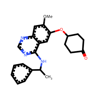 COc1cc2ncnc(NC(C)c3ccccc3)c2cc1OC1CCC(=O)CC1